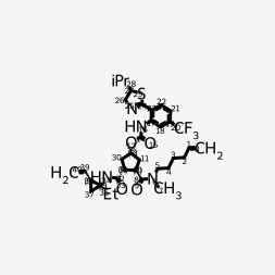 C=CCCCCN(C)C(=O)[C@@H]1C[C@H](OC(=O)Nc2cc(C(F)(F)F)ccc2C2=NCC(C(C)C)S2)C[C@H]1C(=O)N[C@]1(CC)C[C@H]1C=C